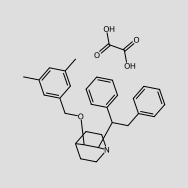 Cc1cc(C)cc(COC2C3CCN(CC3)C2C(Cc2ccccc2)c2ccccc2)c1.O=C(O)C(=O)O